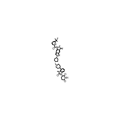 Cn1c(=O)n(C2CCC(=O)NC2=O)c2cccc(C3CCN(C[C@H]4CC[C@H](n5cc6cc(NC(=O)c7cccc(C(C)(C)F)n7)c(C(F)F)cc6n5)CC4)CC3)c21